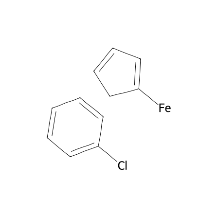 Clc1ccccc1.[Fe][C]1=CC=CC1